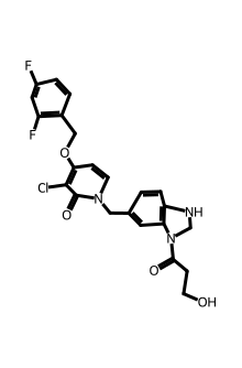 O=C(CCO)N1CNc2ccc(Cn3ccc(OCc4ccc(F)cc4F)c(Cl)c3=O)cc21